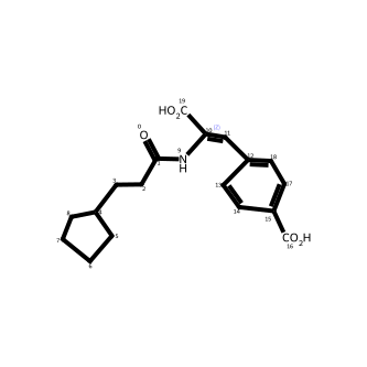 O=C(CCC1CCCC1)N/C(=C\c1ccc(C(=O)O)cc1)C(=O)O